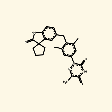 Cc1cc(-n2nc(N)c(=O)[nH]c2=O)cc(C)c1Cc1ccc2c(c1)C1(CCCC1)C(=O)N2